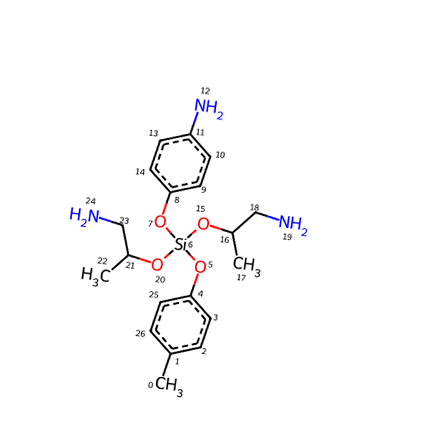 Cc1ccc(O[Si](Oc2ccc(N)cc2)(OC(C)CN)OC(C)CN)cc1